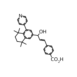 CC1(C)CCC(C)(C)c2c(-c3ccncc3)cc(C(O)C=Cc3ccc(C(=O)O)cc3)cc21